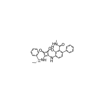 CC[C@@H](Nc1c(Nc2ccc(-c3ccccc3)c(C(=O)NC)c2O)c(=O)c1=O)c1ccccc1